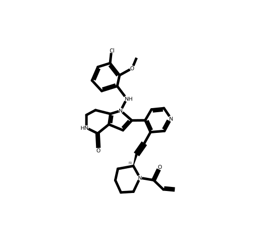 C=CC(=O)N1CCCC[C@H]1C#Cc1cnccc1-c1cc2c(n1Nc1cccc(Cl)c1OC)CCNC2=O